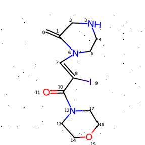 C=C1CNCCN1/C=C(\I)C(=O)N1CCOCC1